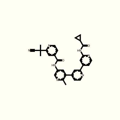 Cc1ncc(NC(=O)c2ccnc(C(C)(C)C#N)c2)cc1-c1ccnc(-c2ccnc(NC(=O)C3CC3)c2)c1